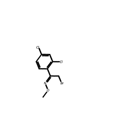 CO/N=C(\CBr)c1ccc(Cl)cc1Cl